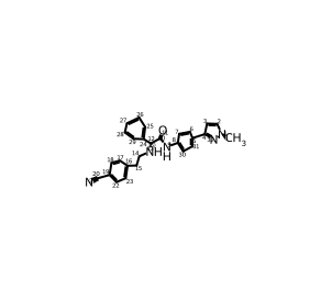 Cn1ccc(-c2ccc(NC(=O)[C@@H](NCCc3ccc(C#N)cc3)c3ccccc3)cc2)n1